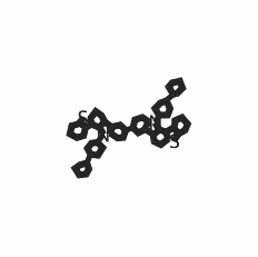 c1ccc(-c2ccc(-n3c4ccc(-c5ccc6c(c5)c5ccc7sc8ccccc8c7c5n6-c5ccc(-c6ccccc6)cc5)cc4c4ccc5sc6ccccc6c5c43)cc2)cc1